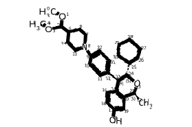 COC(OC)C1CCN(c2ccc([C@@H]3c4ccc(O)cc4[C@H](C)O[C@H]3C3CCCCC3)cc2)CC1